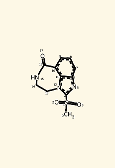 CS(=O)(=O)c1nc2cccc3c2n1CCNC3=O